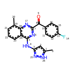 Cc1cc(Nc2nc(C(=O)c3ccc(F)cc3)nc3c(C)cccc23)n[nH]1